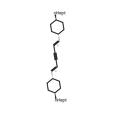 CCCCCCC[C@H]1CC[C@H](/C=C/C#C/C=C/[C@H]2CC[C@H](CCCCCCC)CC2)CC1